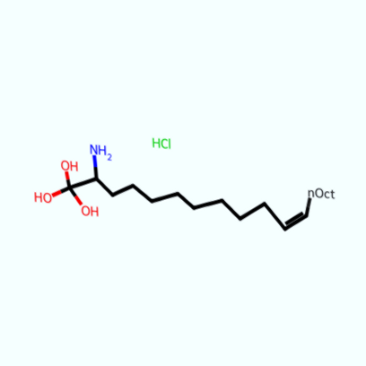 CCCCCCCC/C=C\CCCCCCCCC(N)C(O)(O)O.Cl